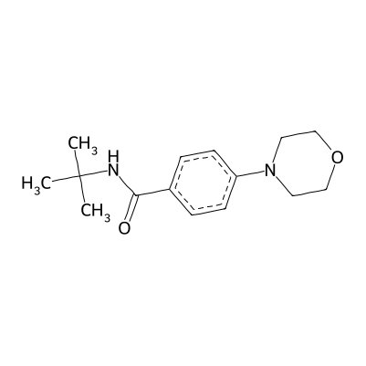 CC(C)(C)NC(=O)c1ccc(N2CCOCC2)cc1